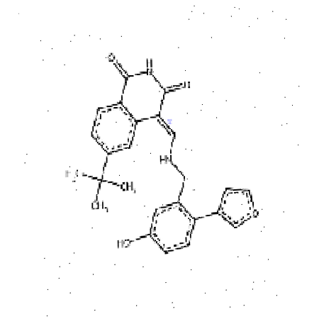 CC(C)(C)c1ccc2c(c1)/C(=C\NCc1cc(O)ccc1-c1ccoc1)C(=O)NC2=O